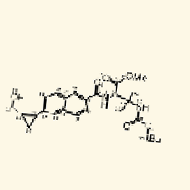 COC(=O)[C@@H](NC(=O)c1ccc2cc([C@H]3C[C@@H]3CO)ccc2c1)C(C)(C)NC(=O)OC(C)(C)C